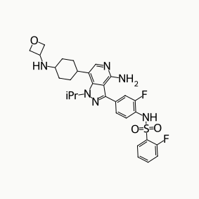 CC(C)n1nc(-c2ccc(NS(=O)(=O)c3ccccc3F)c(F)c2)c2c(N)ncc(C3CCC(NC4COC4)CC3)c21